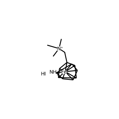 C[N+](C)(C)C[C]12[CH]3[CH]4[CH]5[CH]1[Fe]45321678[CH]2[CH]1[CH]6[CH]7[CH]28.I.N